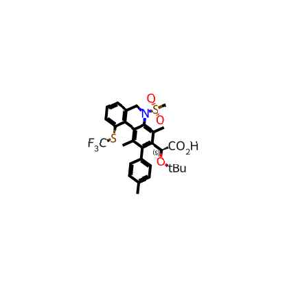 Cc1ccc(-c2c(C)c3c(c(C)c2[C@H](OC(C)(C)C)C(=O)O)N(S(C)(=O)=O)Cc2cccc(SC(F)(F)F)c2-3)cc1